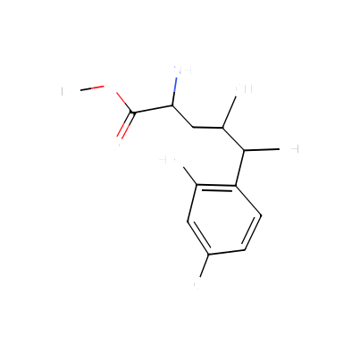 COC(=O)C(N)CC(C)C(C)c1ccc(C)cc1C